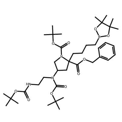 CC(C)(C)OC(=O)NCCN(C(=O)OC(C)(C)C)C1CN(C(=O)OC(C)(C)C)C(CCCCB2OC(C)(C)C(C)(C)O2)(C(=O)OCc2ccccc2)C1